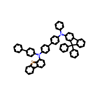 c1ccc(-c2ccc(N(c3ccc(-c4ccc(N(c5ccccc5)c5ccc6c(c5)C(c5ccccc5)(c5ccccc5)c5ccccc5-6)cc4)cc3)c3cccc4c3sc3ccccc34)cc2)cc1